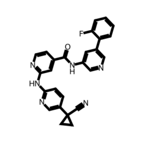 N#CC1(c2ccc(Nc3cc(C(=O)Nc4cncc(-c5ccccc5F)c4)ccn3)nc2)CC1